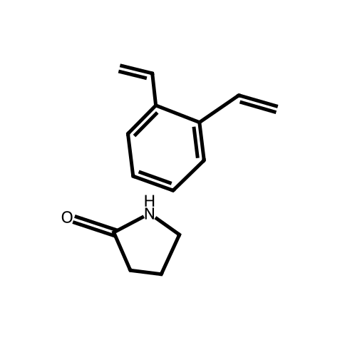 C=Cc1ccccc1C=C.O=C1CCCN1